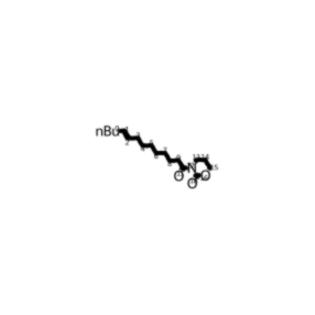 CCCCC=CCCCCCCCC(=O)N1CCCOC1=O